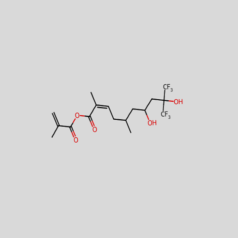 C=C(C)C(=O)OC(=O)/C(C)=C\CC(C)CC(O)CC(O)(C(F)(F)F)C(F)(F)F